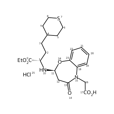 CCOC(=O)[C@H](CCC1CCSCC1)N[C@@H]1CC(=O)N(CC(=O)O)c2ccccc2O1.Cl